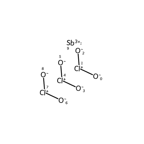 [O-][Cl+][O-].[O-][Cl+][O-].[O-][Cl+][O-].[Sb+3]